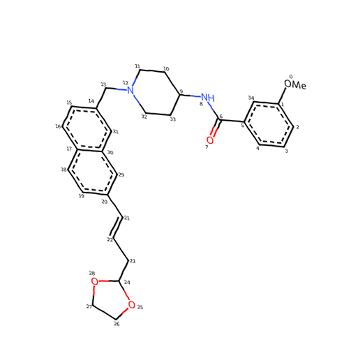 COc1cccc(C(=O)NC2CCN(Cc3ccc4ccc(C=CCC5OCCO5)cc4c3)CC2)c1